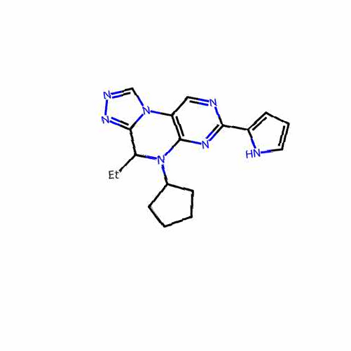 CCC1c2nncn2-c2cnc(-c3ccc[nH]3)nc2N1C1CCCC1